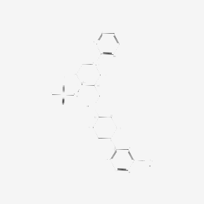 CS(=O)(=O)N[C@H]1CCN(c2ccccn2)CC1COC1CCC(c2cccc(C#N)c2)CC1